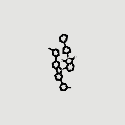 Cc1cccc(-c2ccc3c4ccc(-c5cccc(C)c5)cc4n(-c4cccc5c4C(=O)N(c4ccc(-c6ccccc6)cc4)C5=O)c3c2)c1